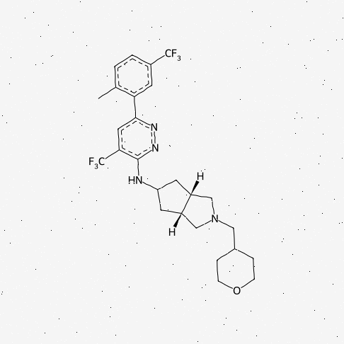 Cc1ccc(C(F)(F)F)cc1-c1cc(C(F)(F)F)c(NC2C[C@@H]3CN(CC4CCOCC4)C[C@@H]3C2)nn1